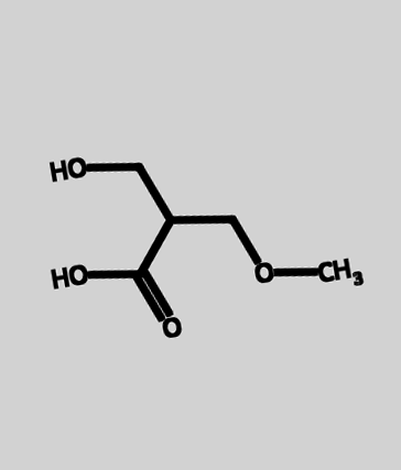 COCC(CO)C(=O)O